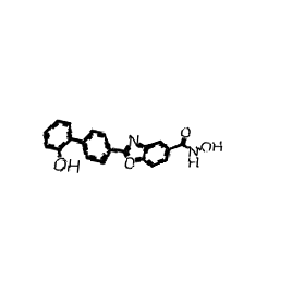 O=C(NO)c1ccc2oc(-c3ccc(-c4ccccc4O)cc3)nc2c1